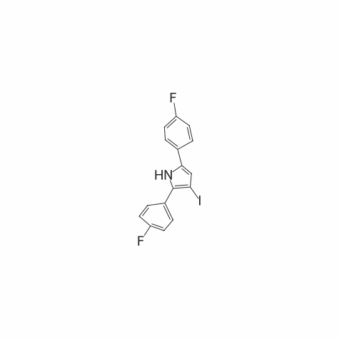 Fc1ccc(-c2cc(I)c(-c3ccc(F)cc3)[nH]2)cc1